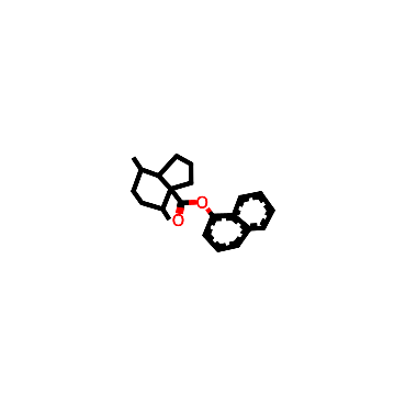 CC1CCC(C)C2(C(=O)Oc3cccc4ccccc34)CCCC12